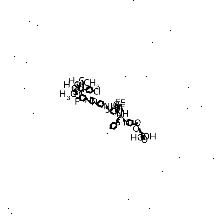 Cc1c(S(C)(=O)=O)c(-c2cc(F)cc(N3CCN(c4ccc(NSc5ccc(N[C@H](CCN6CCC(C(=O)OCCCP(=O)(O)O)CC6)CSc6ccccc6)c(S(=O)(=O)C(F)(F)F)c5)cc4)CC3)c2)c(-c2ccc(Cl)cc2)n1C(C)C